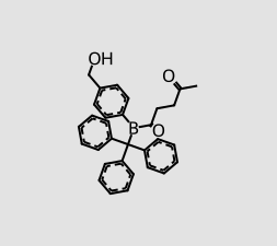 CC(=O)CCC(=O)B(c1ccc(CO)cc1)C(c1ccccc1)(c1ccccc1)c1ccccc1